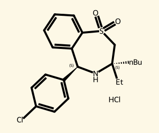 CCCC[C@@]1(CC)CS(=O)(=O)c2ccccc2[C@H](c2ccc(Cl)cc2)N1.Cl